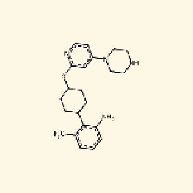 Nc1cccc(C(F)(F)F)c1C1CCC(Oc2cc(N3CCNCC3)ccn2)CC1